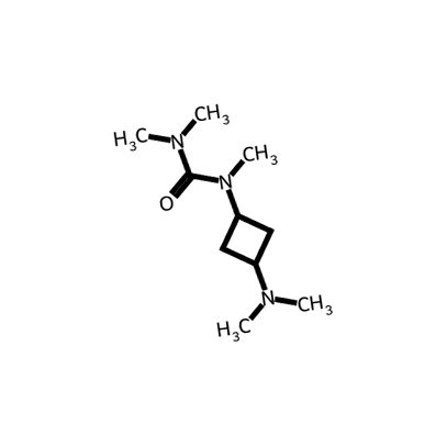 CN(C)C(=O)N(C)C1CC(N(C)C)C1